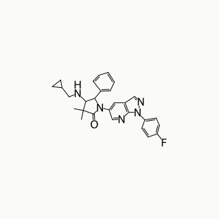 CC1(C)C(=O)N(c2cnc3c(cnn3-c3ccc(F)cc3)c2)C(c2ccccc2)C1NCC1CC1